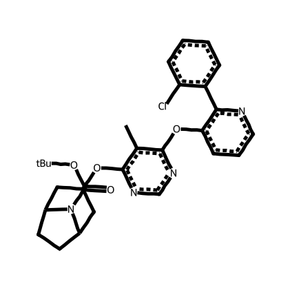 Cc1c(Oc2cccnc2-c2ccccc2Cl)ncnc1OC1CC2CCC(C1)N2C(=O)OC(C)(C)C